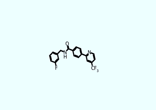 O=C(NCc1cccc(F)c1)c1ccc(-c2cc(C(F)(F)F)ccn2)cc1